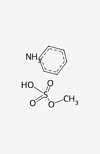 COS(=O)(=O)O.N.c1ccccc1